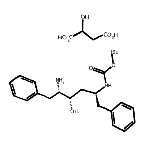 CC(C)(C)OC(=O)N[C@@H](Cc1ccccc1)C[C@H](O)[C@@H](N)Cc1ccccc1.O=C(O)CC(O)C(=O)O